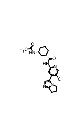 CC(=O)N[C@@H]1CCC[C@H](C(=O)Nc2cc(-c3cnc4n3CCC4)c(Cl)cn2)C1